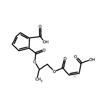 CC(COC(=O)/C=C\C(=O)O)OC(=O)c1ccccc1C(=O)O